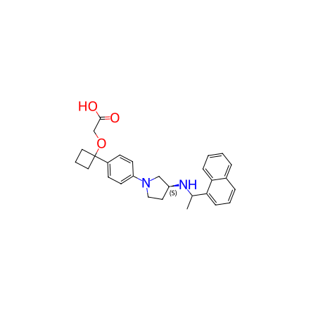 CC(N[C@H]1CCN(c2ccc(C3(OCC(=O)O)CCC3)cc2)C1)c1cccc2ccccc12